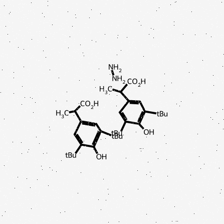 CC(C(=O)O)c1cc(C(C)(C)C)c(O)c(C(C)(C)C)c1.CC(C(=O)O)c1cc(C(C)(C)C)c(O)c(C(C)(C)C)c1.NN